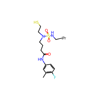 Cc1cc(NC(=O)CCCN(CCS)S(=O)(=O)NCC(C)C)ccc1F